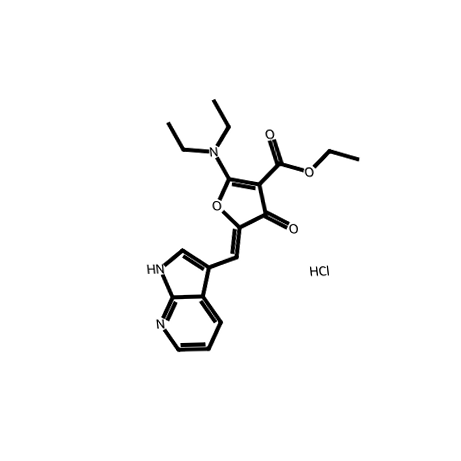 CCOC(=O)C1=C(N(CC)CC)O/C(=C\c2c[nH]c3ncccc23)C1=O.Cl